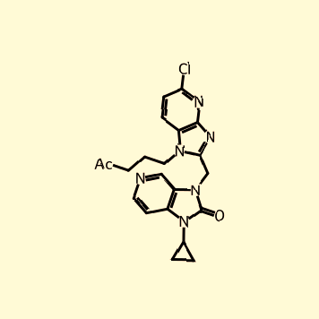 CC(=O)CCCn1c(Cn2c(=O)n(C3CC3)c3ccncc32)nc2nc(Cl)ccc21